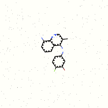 N#Cc1cnc2c(N)cccc2c1Nc1ccc(F)c(Br)c1